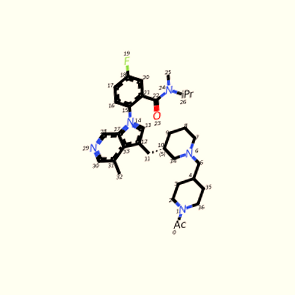 CC(=O)N1CCC(CN2CCC[C@@H](Cc3cn(-c4ccc(F)cc4C(=O)N(C)C(C)C)c4cncc(C)c34)C2)CC1